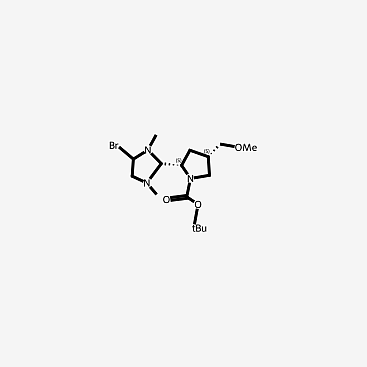 COC[C@H]1C[C@@H](C2N(C)CC(Br)N2C)N(C(=O)OC(C)(C)C)C1